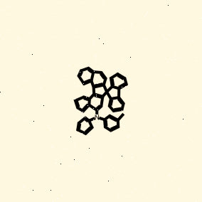 Cc1cccc(N(c2ccccc2)c2cc3c(c4ccccc24)-c2c(ccc4ccccc24)C32c3ccccc3-c3ccccc32)c1